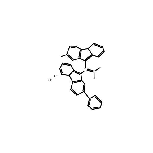 Cc1ccc2c(c1)[C]([Ti+2]([C]1=C3C=CC=CC3c3ccc(-c4ccccc4)cc31)=[Si](C)C)=C1C=CC=CC12.[Cl-].[Cl-]